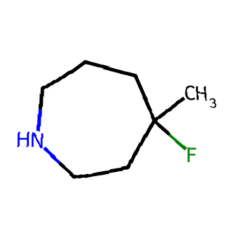 CC1(F)CCCNCC1